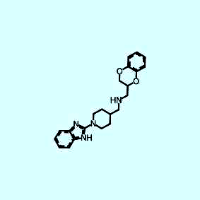 c1ccc2c(c1)OCC(CNCC1CCN(c3nc4ccccc4[nH]3)CC1)O2